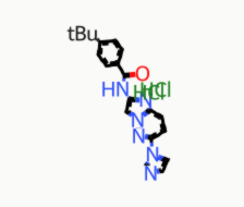 CC(C)(C)c1ccc(C(=O)Nc2cn3nc(-n4ccnc4)ccc3n2)cc1.Cl.Cl